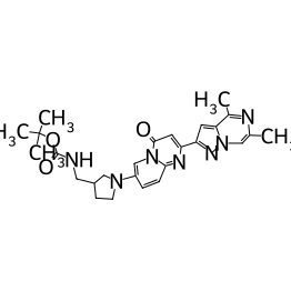 Cc1cn2nc(-c3cc(=O)n4cc(N5CCC(CNC(=O)OC(C)(C)C)C5)ccc4n3)cc2c(C)n1